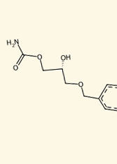 NC(=O)OC[C@H](O)COCc1ccccc1